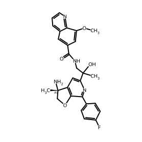 COc1cc(C(=O)NCC(C)(O)c2cc3c(c(-c4ccc(F)cc4)n2)OC[C@]3(C)N)cc2cccnc12